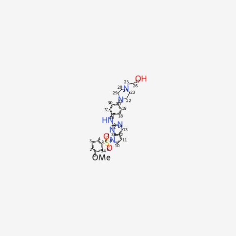 COc1cccc(S(=O)(=O)n2ccc3cnc(Nc4ccc(N5CCN(CCO)CC5)cc4)nc32)c1